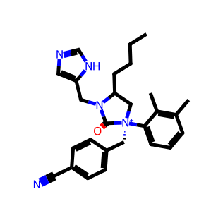 CCCCC1C[N@@+](Cc2ccc(C#N)cc2)(c2cccc(C)c2C)C(=O)N1Cc1cnc[nH]1